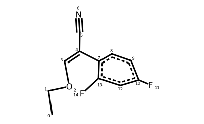 CCO/C=C(/C#N)c1ccc(F)cc1F